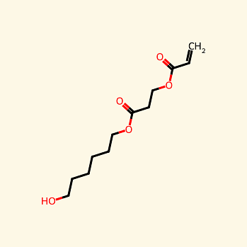 C=CC(=O)OCCC(=O)OCCCCCCO